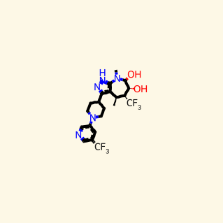 C[C@H]1c2c(C3CCN(c4cncc(C(F)(F)F)c4)CC3)n[nH]c2N(C)C(O)[C@H](O)[C@@H]1C(F)(F)F